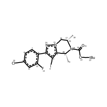 C[C@@H]1c2c(I)c(-c3ccc(Cl)cc3F)nn2C[C@H](C)N1C(=O)OC(C)(C)C